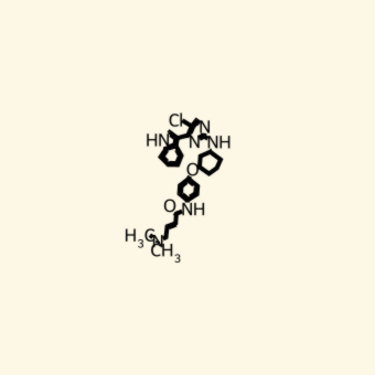 CN(C)C/C=C/C(=O)Nc1ccc(O[C@@H]2CCC[C@@H](Nc3ncc(Cl)c(-c4c[nH]c5ccccc45)n3)C2)cc1